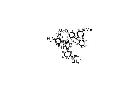 COc1ccc(C(OC[C@@]23CN(c4ccnc(N(C)C)n4)[C@@H]([C@H](n4cc(C)c(N)nc4=O)O2)[C@@H]3O)(c2ccccc2)c2ccc(OC)cc2)cc1